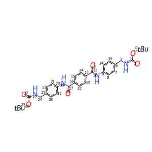 CC(C)(C)OC(=O)NCc1ccc(NC(=O)c2ccc(C(=O)Nc3ccc(CNC(=O)OC(C)(C)C)cc3)cc2)cc1